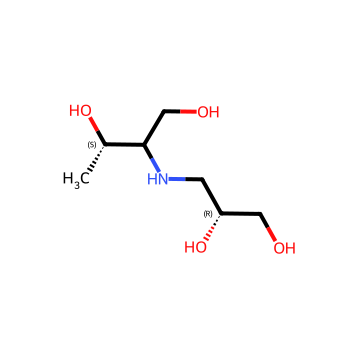 C[C@H](O)C(CO)NC[C@@H](O)CO